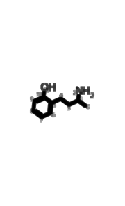 CC(N)CCc1ccccc1O